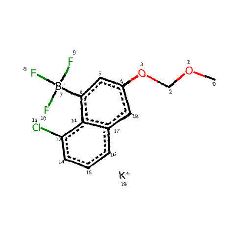 COCOc1cc([B-](F)(F)F)c2c(Cl)cccc2c1.[K+]